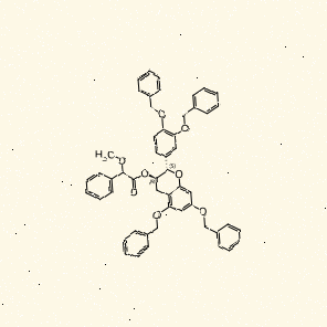 COC(C(=O)O[C@@H]1Cc2c(OCc3ccccc3)cc(OCc3ccccc3)cc2O[C@H]1c1ccc(OCc2ccccc2)c(OCc2ccccc2)c1)c1ccccc1